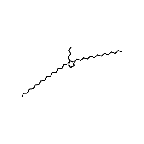 CCCCCCCCCCCCCCCCn1cc[n+](CCCCCCCCCCCCCC)c1CCCC